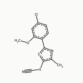 COc1cc(Cl)ccc1-c1nc(C)c(SC#N)s1